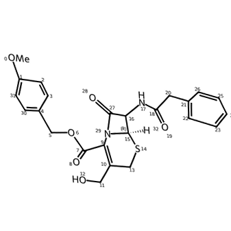 COc1ccc(COC(=O)C2=C(CO)CS[C@@H]3C(NC(=O)Cc4ccccc4)C(=O)N23)cc1